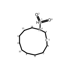 O=[SH](=O)N1CCCCCCCCCCC1